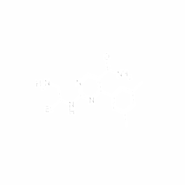 CCC(CN)Nc1ncc(C(N)=O)c(-c2cc(C)cc(C)c2)n1